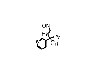 CCCC(O)(NCN=O)c1cccnc1